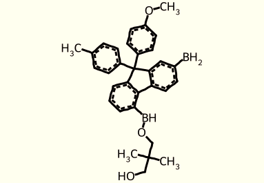 Bc1ccc2c(c1)C(c1ccc(C)cc1)(c1ccc(OC)cc1)c1cccc(BOCC(C)(C)CO)c1-2